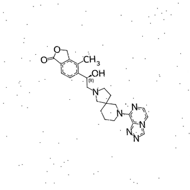 Cc1c([C@@H](O)CN2CCC3(CCCN(c4nccn5cnnc45)C3)C2)ccc2c1COC2=O